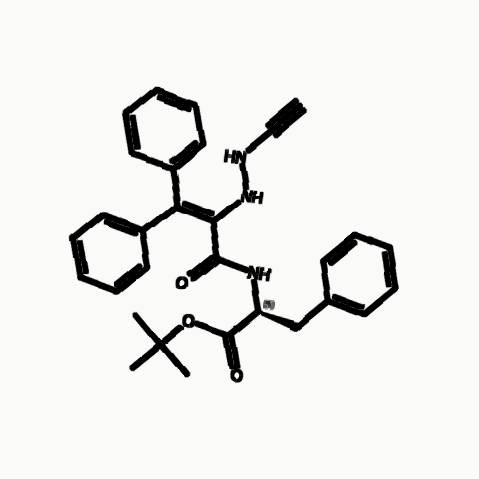 C#CNNC(C(=O)N[C@@H](Cc1ccccc1)C(=O)OC(C)(C)C)=C(c1ccccc1)c1ccccc1